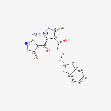 O=C[C@H]1NCC(=S)C1C(=O)[C@H]1NCC(=S)C1C(=O)CCCC1Cc2ccccc2C1